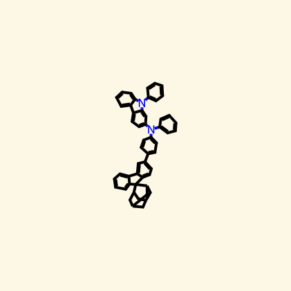 c1ccc(N(c2ccc(-c3ccc4c(c3)-c3ccccc3C43C4CC5CC(C4)CC3C5)cc2)c2ccc3c4ccccc4n(-c4ccccc4)c3c2)cc1